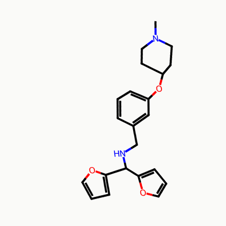 CN1CCC(Oc2cccc(CNC(c3ccco3)c3ccco3)c2)CC1